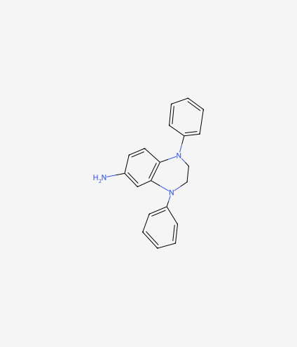 Nc1ccc2c(c1)N(c1ccccc1)CCN2c1ccccc1